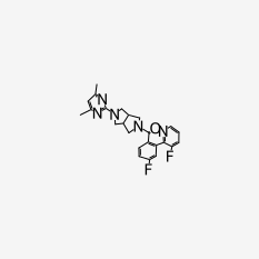 Cc1cc(C)nc(N2CC3CN(C(=O)c4ccc(F)cc4-c4ncccc4F)CC3C2)n1